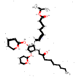 CCCCCCCC(=O)CC[C@@H]1[C@@H](C/C=C\CCCC(=O)OC(C)C)[C@@H](OC2CCCCO2)C[C@H]1OC1CCCCO1